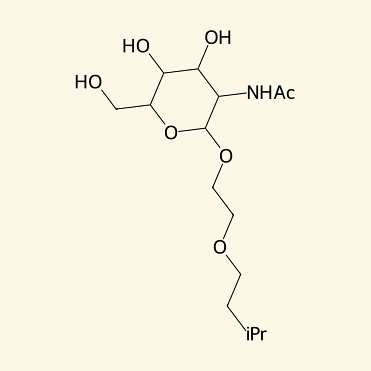 CC(=O)NC1C(OCCOCCC(C)C)OC(CO)C(O)C1O